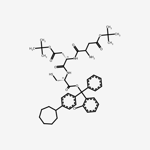 CC(C)(C)OC(=O)CC(N)C(=O)N[C@@H](CC(=O)OC(C)(C)C)C(=O)N[C@@H](CS)C(=O)OC(c1ccccc1)(c1ccc(C2CCCCCC2)cc1)c1ccccc1Cl